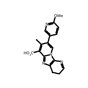 COc1ccc(-c2cn3c4c(nc3c(C(=O)O)c2C)CCC=N4)cn1